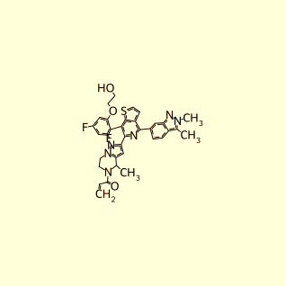 C=CC(=O)N1CCn2nc(-c3nc(-c4ccc5c(C)n(C)nc5c4)c4ccsc4c3-c3c(F)cc(F)cc3OCCO)cc2C1C